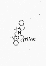 CNC(=O)CCN1c2ccc3ccccc3c2C(C)(C)C1/C=C1\Oc2ccccc2N1C